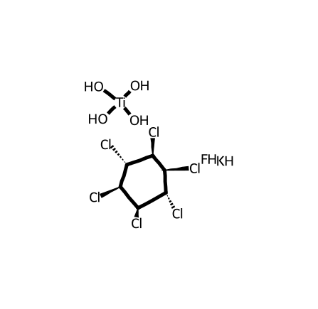 Cl[C@H]1[C@H](Cl)[C@@H](Cl)[C@@H](Cl)[C@H](Cl)[C@H]1Cl.F.[KH].[OH][Ti]([OH])([OH])[OH]